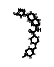 CN1CCN(CC2CCC(C(=O)Nc3ncc4ccc(-c5cn(C)nn5)cc4n3)CC2)CC1